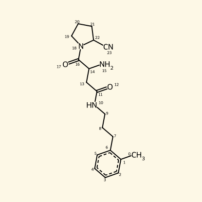 Cc1ccccc1CCCNC(=O)CC(N)C(=O)N1CCCC1C#N